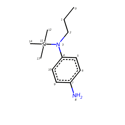 CCCN(c1ccc(N)cc1)[Si](C)(C)C